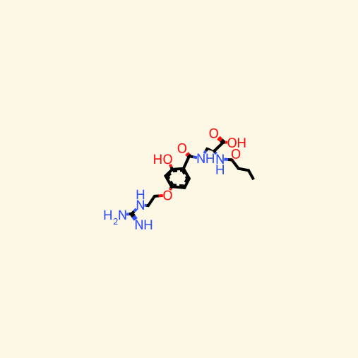 CCCC(=O)N[C@@H](CNC(=O)c1ccc(OCCNC(=N)N)cc1O)C(=O)O